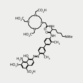 CNCCCCC(NC(=O)CN1CCN(CC(=O)O)CCN(CC(=O)O)CCN(CC(=O)O)CC1)C(=O)Nc1ccc(-c2ccc(N=Nc3ccc4c(S(=O)(=O)O)cc(S(=O)(=O)O)c(N)c4c3O)c(C)c2)cc1C